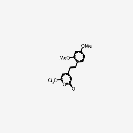 COc1ccc(C=Cc2cc(C(Cl)(Cl)Cl)oc(=O)c2)c(OC)c1